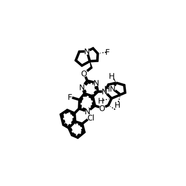 C[C@@H]1Oc2nc(-c3cccc4cccc(Cl)c34)c(F)c3nc(OC[C@@]45CCCN4C[C@H](F)C5)nc(c23)N2C[C@H]3CC[C@H](N3)[C@@H]12